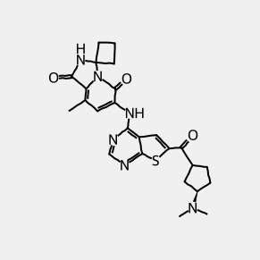 Cc1cc(Nc2ncnc3sc(C(=O)C4CC[C@@H](N(C)C)C4)cc23)c(=O)n2c1C(=O)NC21CCC1